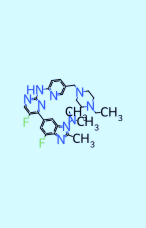 CCN1CCN(Cc2ccc(Nc3ncc(F)c(-c4cc(F)c5nc(C)n(N(C)C)c5c4)n3)nc2)CC1